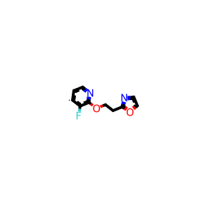 Fc1[c]ccnc1OCCc1ncco1